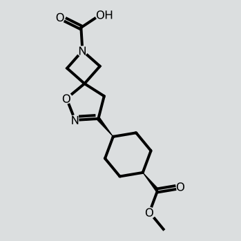 COC(=O)[C@H]1CC[C@@H](C2=NOC3(C2)CN(C(=O)O)C3)CC1